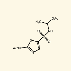 CC(=O)Nc1ncc(S(=O)(=O)NC(C)OC(C)=O)s1